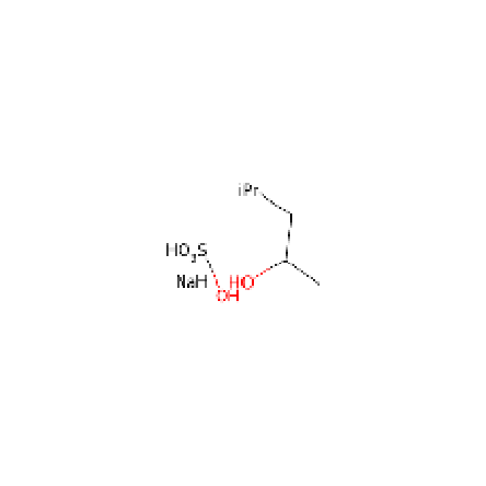 CC(C)CC(C)O.O=S(=O)(O)O.[NaH]